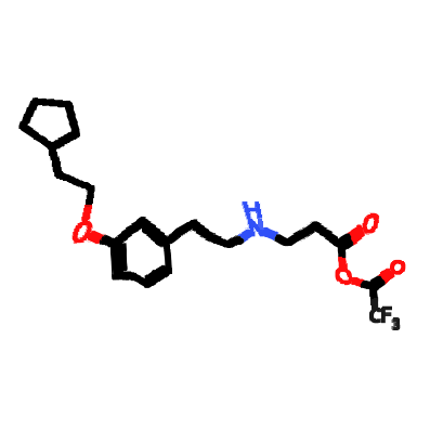 O=C(CCNCCc1cccc(OCCC2CCCC2)c1)OC(=O)C(F)(F)F